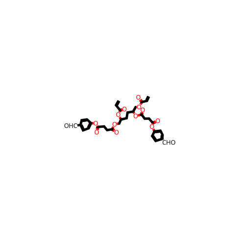 C=CC(=O)OCC(CCC(COC(=O)CCC(=O)Oc1ccc(C=O)cc1)OC(=O)C=C)OC(=O)CCC(=O)Oc1ccc(C=O)cc1